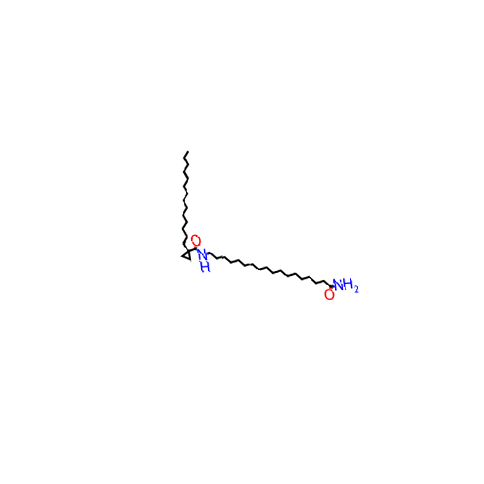 CCCCCCCCCCCCCCC1(C(=O)NCCCCCCCCCCCCCCCCCC(N)=O)CC1